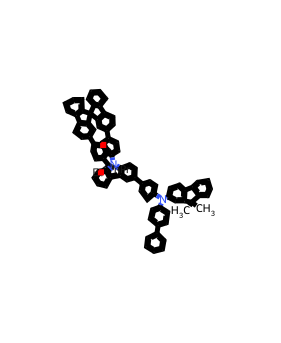 CCCC(CC)c1ccc(-c2ccc3c(c2)C2(c4ccccc4-3)c3ccccc3-c3ccc(-c4ccc(-n5c6ccccc6c6cc(-c7ccc(N(c8ccc(-c9ccccc9)cc8)c8ccc9c(c8)C(C)(C)c8ccccc8-9)cc7)ccc65)cc4)cc32)cc1